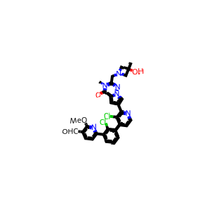 COc1nc(-c2cccc(-c3ccnc(-c4cc5c(=O)n(C)c(CN6CC(C)(O)C6)nn5c4)c3Cl)c2Cl)ccc1C=O